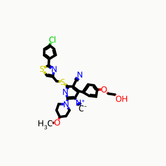 [C-]#[N+]c1c(N2CCC(OC)CC2)nc(SCc2csc(-c3ccc(Cl)cc3)n2)c(C#N)c1-c1ccc(OCCO)cc1